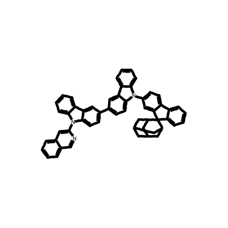 c1ccc2c(c1)-c1ccc(-n3c4ccccc4c4cc(-c5ccc6c(c5)c5ccccc5n6-c5cc6ccccc6cn5)ccc43)cc1C21C2CC3CC(C2)CC1C3